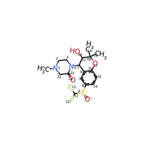 CN1CCN(C2c3cc([S+]([O-])C(F)F)ccc3OC(C)(C)C2O)C(=O)C1